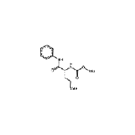 CSCC[C@@H](NC(=O)OC(C)(C)C)C(=O)Nc1ccccc1